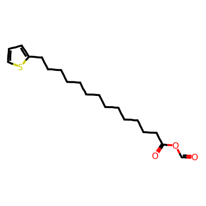 O=COC(=O)CCCCCCCCCCCCCc1cccs1